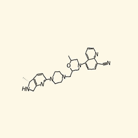 CC1CN(c2ccc(C#N)c3ncccc23)CC(CN2CCN(c3ccc4c(n3)CN[C@@H]4C)CC2)O1